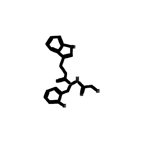 O=C(CCl)NN(Cc1ccccc1Cl)C(=O)CCc1c[nH]c2ccccc12